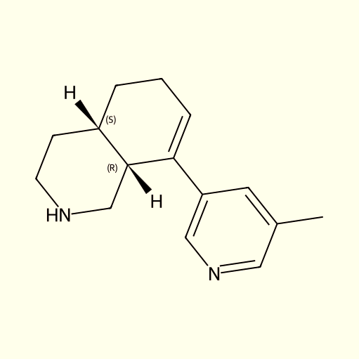 Cc1cncc(C2=CCC[C@H]3CCNC[C@@H]23)c1